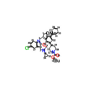 COCCCN1CC(CN(C(=O)[C@H]2CN(C(=O)OC(C)(C)C)CC[C@@H]2c2cccc(-c3ccccc3)c2)C2CC2)c2cc(Cl)ccc21